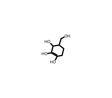 OCC1CCC(O)=C(O)C1O